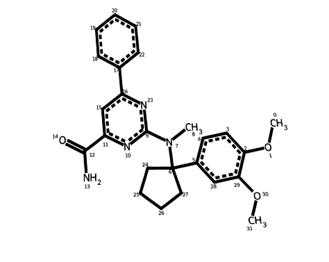 COc1ccc(C2(N(C)c3nc(C(N)=O)cc(-c4ccccc4)n3)CCCC2)cc1OC